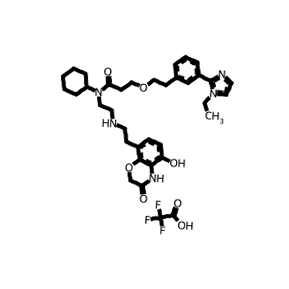 CCn1ccnc1-c1cccc(CCOCCC(=O)N(CCNCCc2ccc(O)c3c2OCC(=O)N3)C2CCCCC2)c1.O=C(O)C(F)(F)F